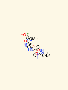 C=NCCNOC1(c2cc(NC(=O)c3ccc(/N=N\C(C(C)=O)C(=O)Nc4cc(CO)c(Cl)cc4OC)cc3)cc(C3(ONCCN=C)CCCCC3)c2)CCCCC1